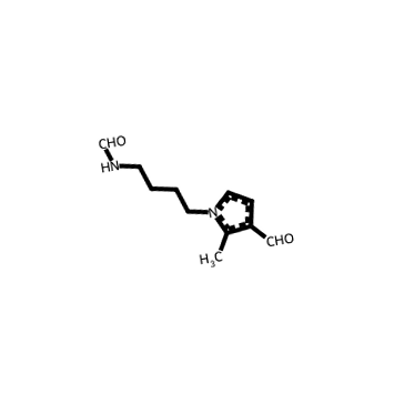 Cc1c(C=O)ccn1CCCCNC=O